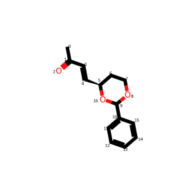 CC(=O)/C=C/[C@H]1CCOC(c2ccccc2)O1